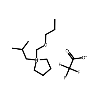 CCCOC[N+]1(CC(C)C)CCCC1.O=C([O-])C(F)(F)F